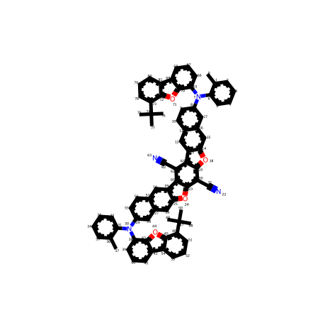 Cc1ccccc1N(c1ccc2cc3c(cc2c1)oc1c(C#N)c2oc4cc5cc(N(c6ccccc6C)c6cccc7c6oc6c(C(C)(C)C)cccc67)ccc5cc4c2c(C#N)c13)c1cccc2c1oc1c(C(C)(C)C)cccc12